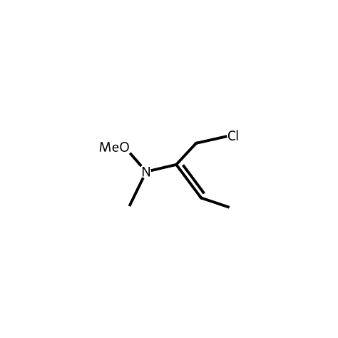 CC=C(CCl)N(C)OC